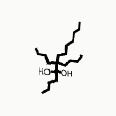 CCCCCCCC(CCCC)(CCCC)C(O)(O)CCCC